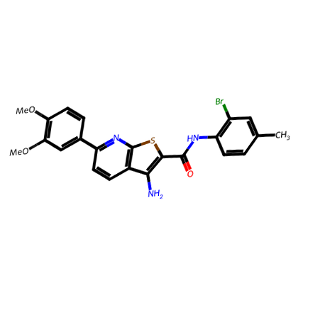 COc1ccc(-c2ccc3c(N)c(C(=O)Nc4ccc(C)cc4Br)sc3n2)cc1OC